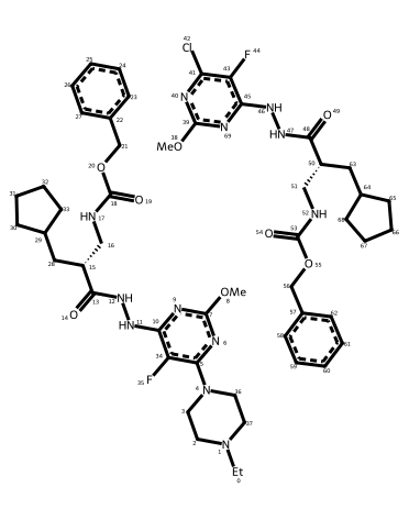 CCN1CCN(c2nc(OC)nc(NNC(=O)[C@@H](CNC(=O)OCc3ccccc3)CC3CCCC3)c2F)CC1.COc1nc(Cl)c(F)c(NNC(=O)[C@@H](CNC(=O)OCc2ccccc2)CC2CCCC2)n1